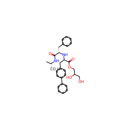 C[C@H](NC(=O)[C@H](Cc1ccccc1)NC(Cc1ccc(-c2ccccc2)cc1)C(=O)OCC(O)CO)C(=O)O